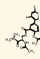 CC(=O)N[C@H](CSC(=O)c1cc(-c2ccc(F)cc2F)ccc1OC(C)=O)C(=O)N(C)C